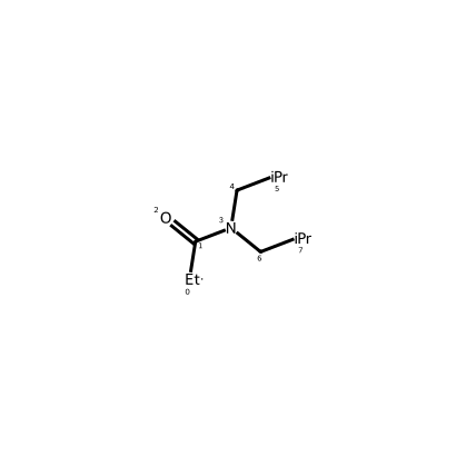 C[CH]C(=O)N(CC(C)C)CC(C)C